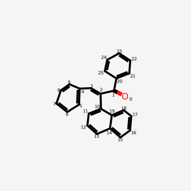 O=C(C(=Cc1ccccc1)c1cccc2ccccc12)c1ccccc1